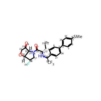 CSc1ccc(-c2ccc([C@H](N[C@@H](CC(C)C)C(=O)N3C[C@H](F)[C@H]4OCC(=O)[C@H]43)C(F)(F)F)cc2)cc1